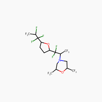 FC(C(F)(F)F)C(F)(F)C1CCC(C(F)(F)C(N2CC(C(F)(F)F)OC(C(F)(F)F)C2)C(F)(F)F)O1